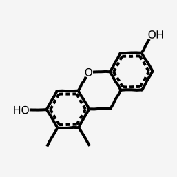 Cc1c(O)cc2c(c1C)Cc1ccc(O)cc1O2